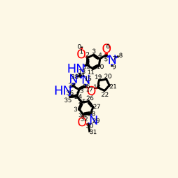 COc1cc(C(=O)N(C)C)ccc1Nc1nc(OC2CCCC2)c2c(-c3ccc4nc(C)oc4c3)c[nH]c2n1